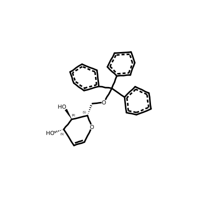 O[C@H]1[C@H](COC(c2ccccc2)(c2ccccc2)c2ccccc2)OC=C[C@@H]1O